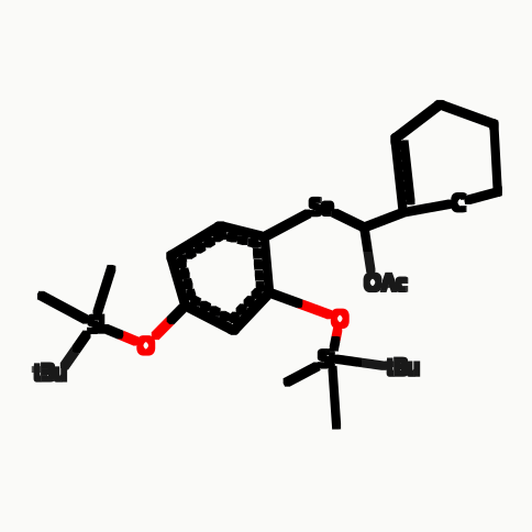 CC(=O)OC([Se]c1ccc(O[Si](C)(C)C(C)(C)C)cc1O[Si](C)(C)C(C)(C)C)C1=CCCCC1